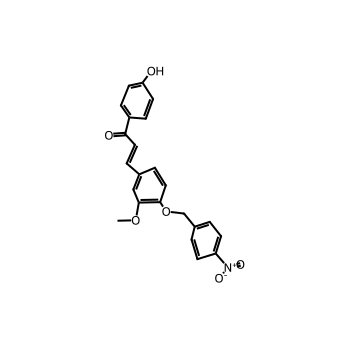 COc1cc(/C=C/C(=O)c2ccc(O)cc2)ccc1OCc1ccc([N+](=O)[O-])cc1